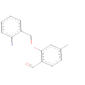 Cc1ccc(C=O)c(OCc2ccccc2I)c1